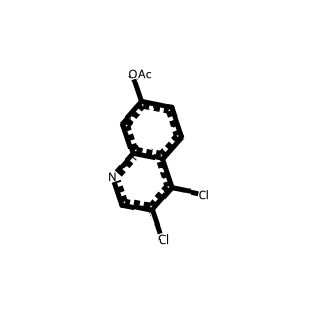 CC(=O)Oc1ccc2c(Cl)c(Cl)cnc2c1